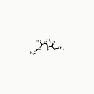 CCOC(O)[C@H](C)NC(=O)CC